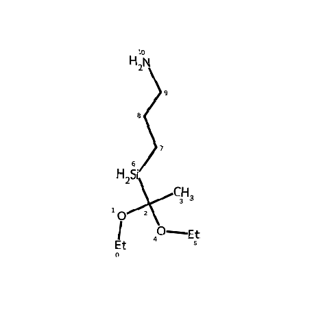 CCOC(C)(OCC)[SiH2]CCCN